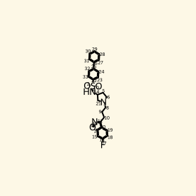 O=S(=O)(NC1CCN(CCCc2noc3cc(F)ccc23)C1)c1ccc(-c2ccccc2)cc1